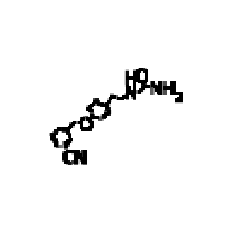 N#Cc1cccc(COc2ccc(CCNCC(N)=O)cc2)c1